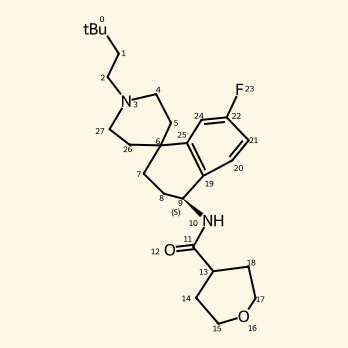 CC(C)(C)CCN1CCC2(CC[C@H](NC(=O)C3CCOCC3)c3ccc(F)cc32)CC1